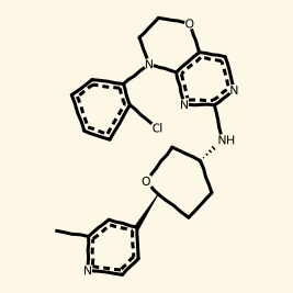 Cc1cc([C@@H]2CC[C@@H](Nc3ncc4c(n3)N(c3ccccc3Cl)CCO4)CO2)ccn1